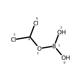 OB(O)OC(Cl)Cl